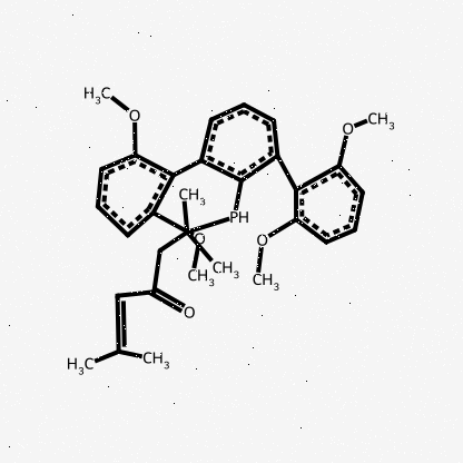 COc1cccc(OC)c1-c1cccc(-c2c(OC)cccc2OC)c1PC(C)(C)CC(=O)C=C(C)C